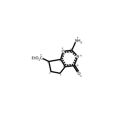 CCOC(=O)C1CCc2c1oc(N)nc2=O